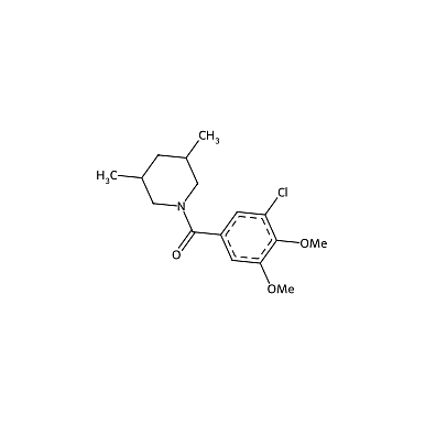 COc1cc(C(=O)N2CC(C)CC(C)C2)cc(Cl)c1OC